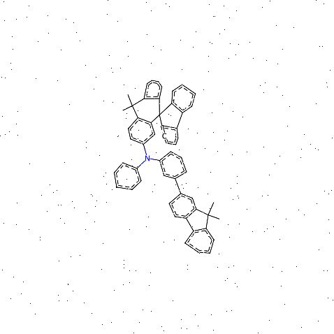 CC1(C)c2ccccc2-c2ccc(-c3cccc(N(c4ccccc4)c4ccc5c(c4)C4(c6ccccc6-c6ccccc64)c4ccccc4C5(C)C)c3)cc21